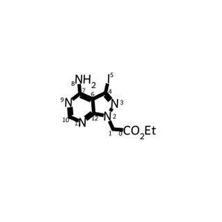 CCOC(=O)Cn1nc(I)c2c(N)ncnc21